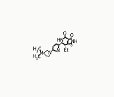 CCc1c(-c2ccc(N3CCC(N(C)C)C3)cn2)[nH]c(=O)c2c(=O)[nH]sc12